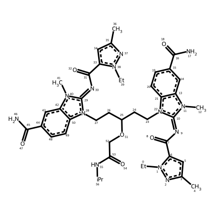 CCn1nc(C)cc1C(=O)N=c1n(C)c2cc(C(N)=O)ccc2n1CCC(CCn1c(=NC(=O)c2cc(C)nn2CC)n(C)c2cc(C(N)=O)ccc21)OCC(=O)NC(C)C